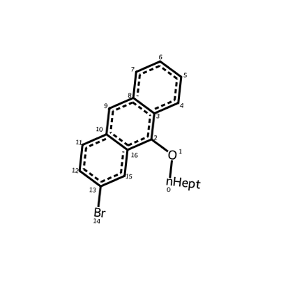 CCCCCCCOc1c2ccccc2cc2ccc(Br)cc12